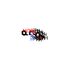 [2H]C([2H])([2H])C([2H])(C([2H])([2H])[2H])[C@]1([2H])C([2H])([2H])C([2H])([2H])[C@@]([2H])(C(=O)N[C@H](Cc2ccccc2)C(=O)O)C([2H])([2H])C1([2H])[2H]